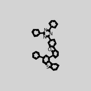 c1ccc(-c2cc(-c3cccc4c3oc3cc(-c5nc(-c6ccccc6)nc(-c6ccccc6)n5)ccc34)c3c(c2)sc2ccccc23)cc1